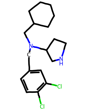 Clc1ccc(CN(CC2CCCCC2)C2CCNC2)cc1Cl